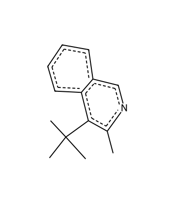 Cc1ncc2ccccc2c1C(C)(C)C